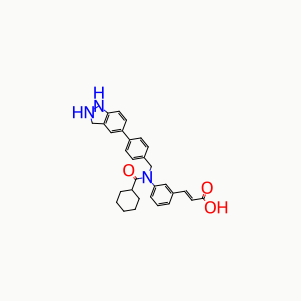 O=C(O)/C=C/c1cccc(N(Cc2ccc(-c3ccc4c(c3)CNN4)cc2)C(=O)C2CCCCC2)c1